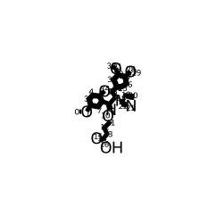 COc1ccc2c(c1)/C(=N\OCCCC(=O)O)C(n1ccnc1)C(c1ccc(OC)c(OC)c1)O2